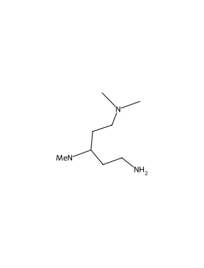 CNC(CCN)CCN(C)C